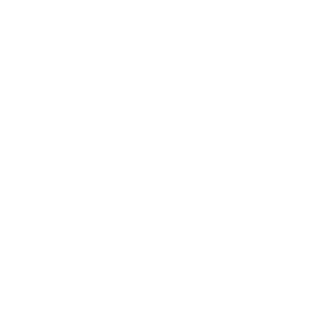 CC1=c2ccccc2=CCC1(C#N)n1c(-c2ccccc2)c(-c2ccccc2)n(Cc2ccc(C#N)cc2)c1=O